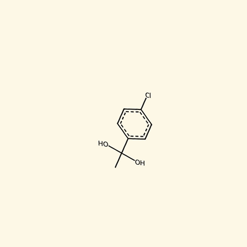 CC(O)(O)c1ccc(Cl)cc1